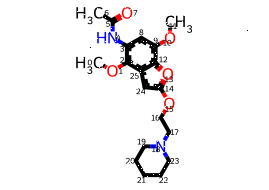 COc1c(NC(C)=O)cc(OC)c2oc(OCCN3CCCCC3)cc12